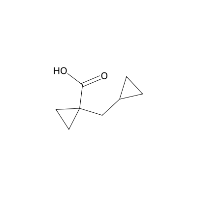 O=C(O)C1(CC2CC2)CC1